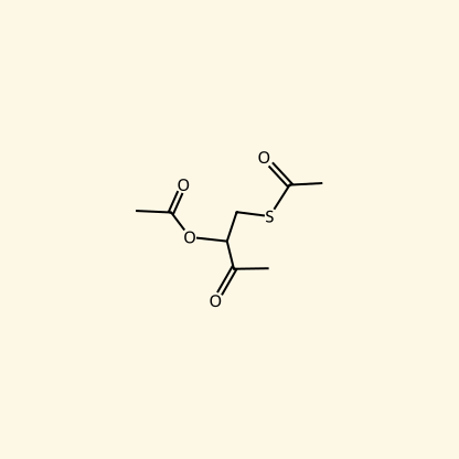 CC(=O)OC(CSC(C)=O)C(C)=O